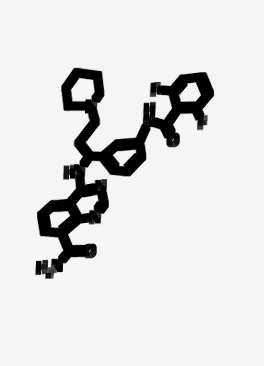 NC(=O)c1cccc2c(NC(CCN3CCCCC3)c3cccc(NC(=O)c4c(F)cccc4F)c3)ncnc12